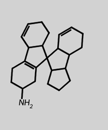 NC1CCC2=C(C1)C1(C3C=CCCC3C3CCCC31)C1CCC=CC21